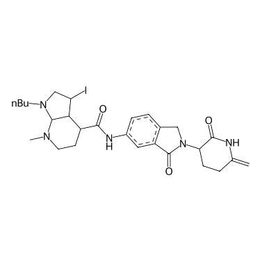 C=C1CCC(N2Cc3ccc(NC(=O)C4CCN(C)C5C4C(I)CN5CCCC)cc3C2=O)C(=O)N1